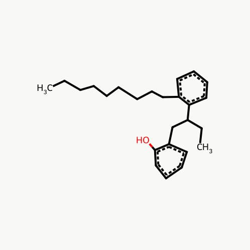 CCCCCCCCCc1ccccc1C(CC)Cc1ccccc1O